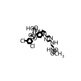 CS(=O)(=O)NCCNc1cnc(-n2ccc3cc(N(CP(=O)(O)O)S(=O)(=O)c4cc(Cl)cc(Cl)c4)ccc32)cn1